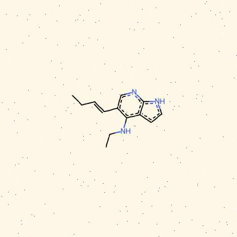 CC/C=C/c1cnc2[nH]ccc2c1NCC